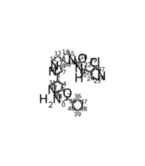 CC(Oc1cc(-c2cc3n(n2)CCC32CCN(C(=O)NC(C)(C)c3ccncc3Cl)C2)cnc1N)c1ccccc1